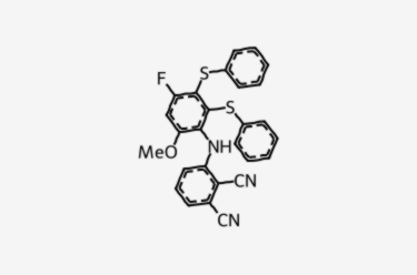 COc1cc(F)c(Sc2ccccc2)c(Sc2ccccc2)c1Nc1cccc(C#N)c1C#N